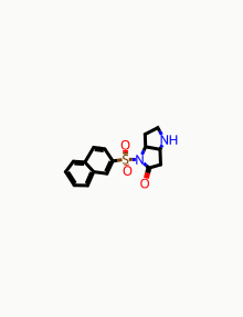 O=C1CC2NCCC2N1S(=O)(=O)c1ccc2ccccc2c1